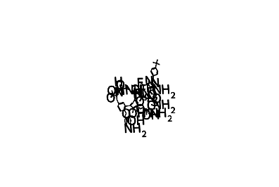 CC1NC(=O)C(N(C)C(=O)[C@H](CNS(N)(=O)=O)NC(=O)c2c(N)nc(-c3ccc(C(C)(C)C)cc3)nc2C(F)F)c2cc(OC[C@H](O)CN)c(O)c(c2)-c2cc(ccc2OC[C@H](O)CN)CC(C(=O)O)NC1=O